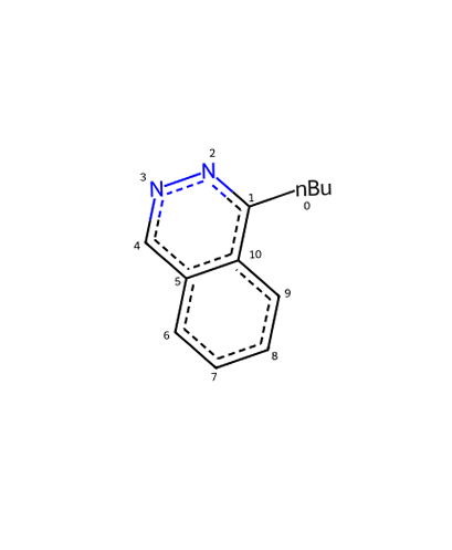 [CH2]CCCc1nncc2ccccc12